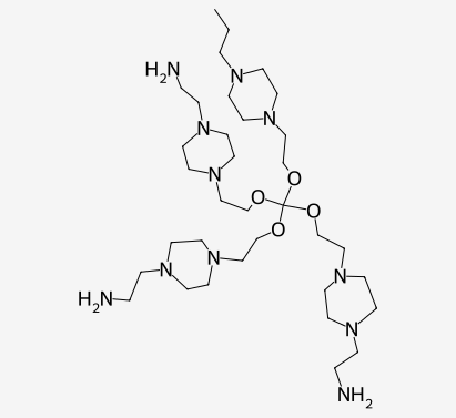 CCCN1CCN(CCOC(OCCN2CCN(CCN)CC2)(OCCN2CCN(CCN)CC2)OCCN2CCN(CCN)CC2)CC1